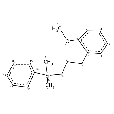 COc1c[c]ccc1CCC[Si](C)(C)c1ccccc1